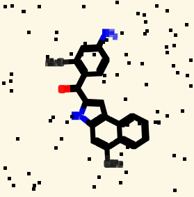 COc1cc(N)ccc1C(=O)c1cc2c(cc(OC)c3ccccc32)[nH]1